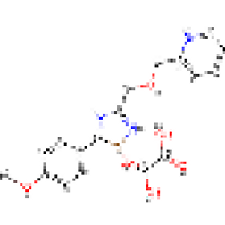 CC(C)Oc1ccc(-c2nc(COCc3ccccn3)ns2)cc1.O=C(O)C(=O)O